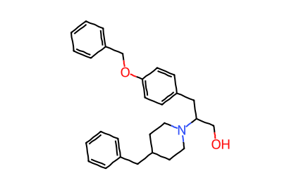 OCC(Cc1ccc(OCc2ccccc2)cc1)N1CCC(Cc2ccccc2)CC1